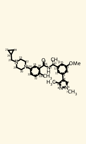 COc1cc(-c2cn(C)nc2C)cc([C@@H](C)NC(=O)c2cc(N3CCN(CC4CC4)CC3)ccc2C)c1